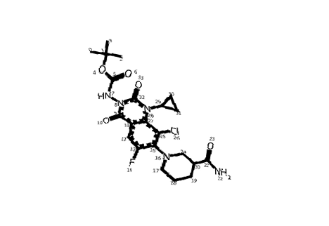 CC(C)(C)OC(=O)Nn1c(=O)c2cc(F)c(N3CCCC(C(N)=O)C3)c(Cl)c2n(C2CC2)c1=O